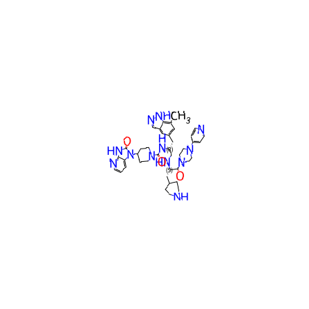 Cc1cc(C[C@H](CN[C@@H](CC2CCNCC2)C(=O)N2CCN(c3ccncc3)CC2)NC(=O)N2CCC(n3c(=O)[nH]c4ncccc43)CC2)cc2cn[nH]c12